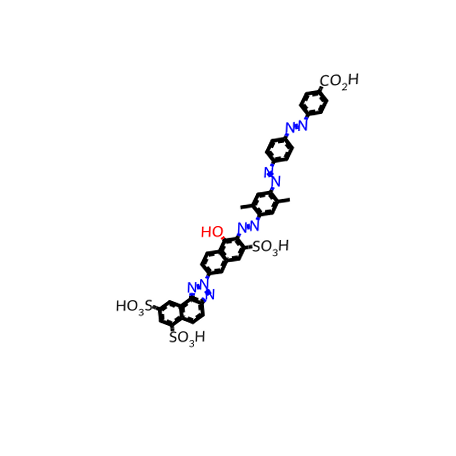 Cc1cc(N=Nc2c(S(=O)(=O)O)cc3cc(-n4nc5ccc6c(S(=O)(=O)O)cc(S(=O)(=O)O)cc6c5n4)ccc3c2O)c(C)cc1N=Nc1ccc(N=Nc2ccc(C(=O)O)cc2)cc1